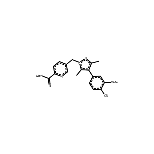 CNC(=O)c1ccc(Cn2nc(C)c(-c3ccc(C#N)c(OC)c3)c2C)cn1